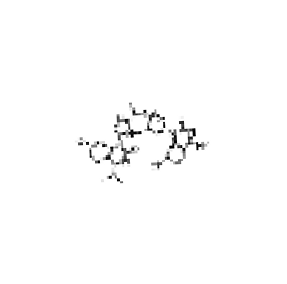 CN(C)c1nc(=O)n(-c2cccc(Cn3c(-n4c(=O)nc(N(C)C)c5ccc(Cl)cc54)cnc3C(N)=O)c2)c2cc(Cl)ccc12